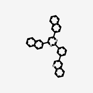 c1cc(-c2cnc3ccccc3c2)cc(-c2nc(-c3ccc4ccccc4c3)cc(-c3ccc4ccccc4c3)n2)c1